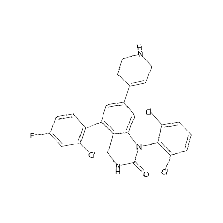 O=C1NCc2c(-c3ccc(F)cc3Cl)cc(C3=CCNCC3)cc2N1c1c(Cl)cccc1Cl